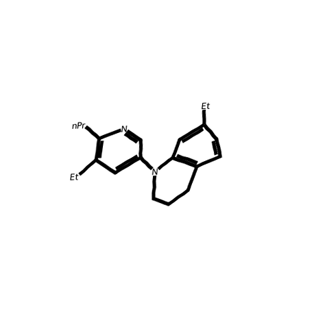 CCCc1ncc(N2CCCc3ccc(CC)cc32)cc1CC